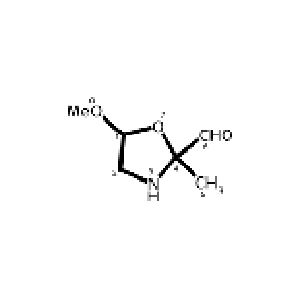 COC1CNC(C)(C=O)O1